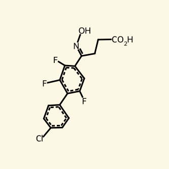 O=C(O)CCC(=NO)c1cc(F)c(-c2ccc(Cl)cc2)c(F)c1F